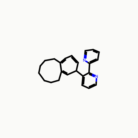 C1=CC(c2cccnc2-c2ccccn2)C=C2CCCCCCCC2=C1